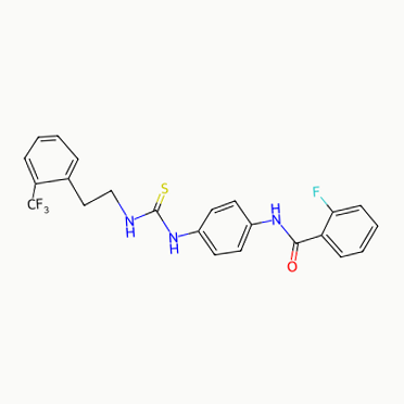 O=C(Nc1ccc(NC(=S)NCCc2ccccc2C(F)(F)F)cc1)c1ccccc1F